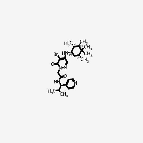 CC(C)C(NC(=O)Cn1ncc(N[C@@H]2C[C@H](C)C(C)(C)[C@H](C)[C@H]2C)c(Br)c1=O)c1ccncc1